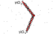 O=S(=O)(O)CCCOCCOCCOCCOCCOCCOCCOCCOCCOc1ccccc1OCCOCCOCCOCCOCCOCCOCCOCCOCCCS(=O)(=O)O